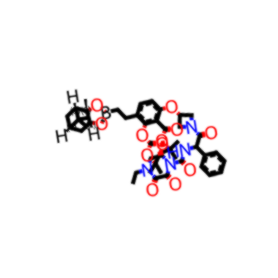 CCN1CCN(C(=O)NC(C(=O)N2CC(Oc3ccc(CCB4O[C@@H]5C[C@@H]6C[C@@H](C6(C)C)[C@]5(C)O4)c(OC(=O)OC(C)(C)C)c3C(=O)OC(C)(C)C)C2)c2ccccc2)C(=O)C1=O